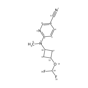 CN(c1ccc(C#N)cn1)C1CC(OC(F)F)C1